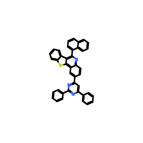 c1ccc(-c2cc(-c3ccc4nc(-c5cccc6ccccc56)c5c6ccccc6sc5c4c3)nc(-c3ccccc3)n2)cc1